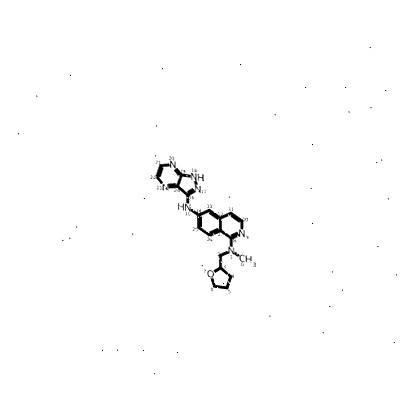 CN(CC1CCCO1)c1nccc2cc(Nc3n[nH]c4nccnc34)ccc12